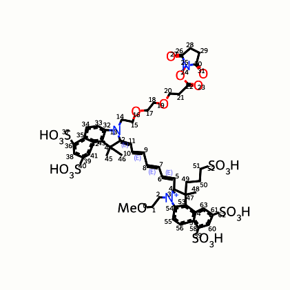 COCC[N+]1=C(/C=C/C=C/C=C/C=C2/N(CCOCCOCCC(=O)ON3C(=O)CCC3=O)c3ccc4c(S(=O)(=O)O)cc(S(=O)(=O)O)cc4c3C2(C)C)C(C)(CCCS(=O)(=O)O)c2c1ccc1c(S(=O)(=O)O)cc(S(=O)(=O)O)cc21